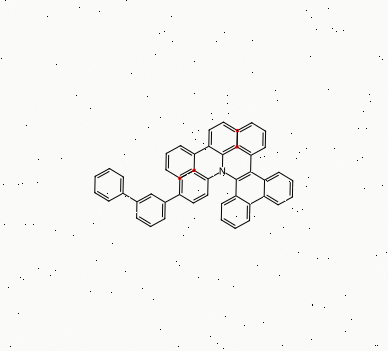 c1ccc(-c2cccc(-c3ccc(N(c4ccccc4-c4ccccc4)c4c(-c5ccccc5)c5ccccc5c5ccccc45)cc3)c2)cc1